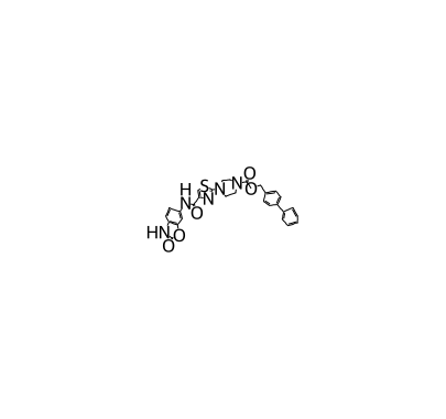 O=C(Nc1ccc2[nH]c(=O)oc2c1)c1csc(N2CCN(C(=O)OCc3ccc(-c4ccccc4)cc3)CC2)n1